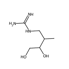 CC(CNC(=N)N)C(O)CO